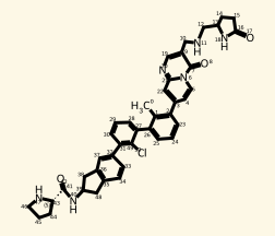 Cc1c(-c2ccn3c(=O)c(CNCC4CCC(=O)N4)cnc3c2)cccc1-c1cccc(-c2ccc3c(c2)CC(NC(=O)[C@@H]2CCCN2)C3)c1Cl